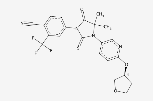 CC1(C)C(=O)N(c2ccc(C#N)c(C(F)(F)F)c2)C(=S)N1c1ccc(O[C@H]2CCOC2)nc1